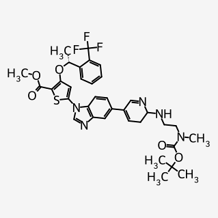 COC(=O)c1sc(-n2cnc3cc(C4=CCC(NCCN(C)C(=O)OC(C)(C)C)N=C4)ccc32)cc1O[C@H](C)c1ccccc1C(F)(F)F